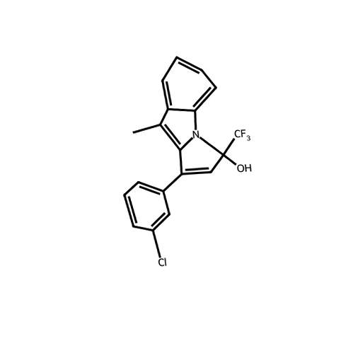 Cc1c2n(c3ccccc13)C(O)(C(F)(F)F)C=C2c1cccc(Cl)c1